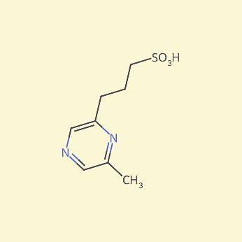 Cc1cncc(CCCS(=O)(=O)O)n1